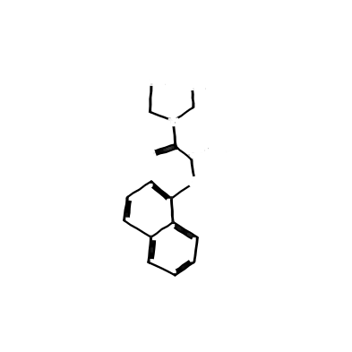 CCN(CC)C(=O)[C@H](C)Oc1cccc2ccccc12